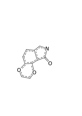 O=c1ncc2ccc3occoc3c12